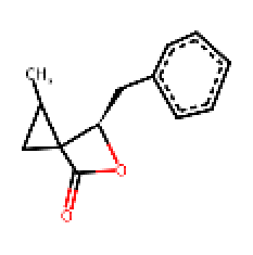 CC1CC12C(=O)O[C@@H]2Cc1ccccc1